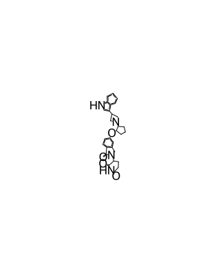 O=C1CCC(N2Cc3cc(OC4CCCC4N4CC(c5c[nH]c6ccccc56)C4)ccc3C2=O)C(=O)N1